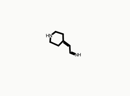 N=CC=C1CCNCC1